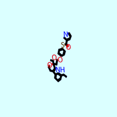 CCc1cccc2c3c([nH]c12)C(CC)(CC(=O)Oc1ccc(SC(=O)c2cccnc2)cc1)OCC3